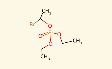 CCOP(=O)(OCC)OC(C)Br